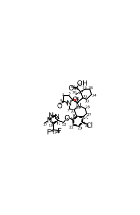 C[C@H]1CCC(=O)N1C[C@@H]1c2c(OCc3nnn(C)c3C(F)F)ccc(Cl)c2CCN1C(=O)C1CCCC[C@@]1(C)C(=O)O